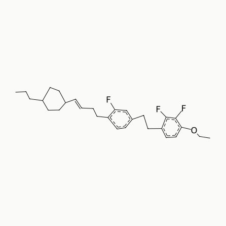 CCCC1CCC(/C=C/CCc2ccc(CCc3ccc(OCC)c(F)c3F)cc2F)CC1